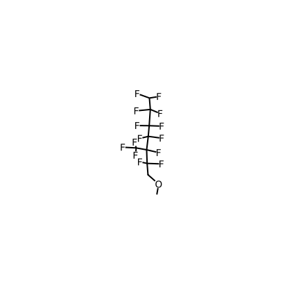 COCC(F)(F)C(F)(C(F)(F)F)C(F)(F)C(F)(F)C(F)(F)C(F)F